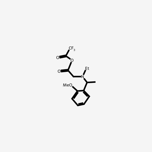 CCN(CC(=O)OC(=O)C(F)(F)F)C(C)c1ccccc1OC